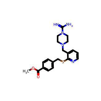 COC(=O)c1ccc(CSc2ncccc2CN2CCN(C(=N)N)CC2)cc1